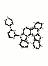 c1cc(-c2ccncc2)nc(-n2c3ccccc3c3c2ccc2c4ccccc4c4cc5ccccc5n4c23)c1